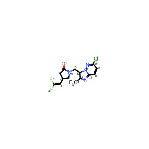 O=C1CC(C=C(F)F)CN1CC1C(C(F)(F)F)N=C2C=CC(Cl)=NN21